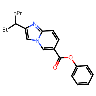 CCCC(CC)c1cn2cc(C(=O)Oc3ccccc3)ccc2n1